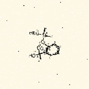 CCCC[Si](C)(C)Oc1ccccc1C(C)(O)C(=O)OCC